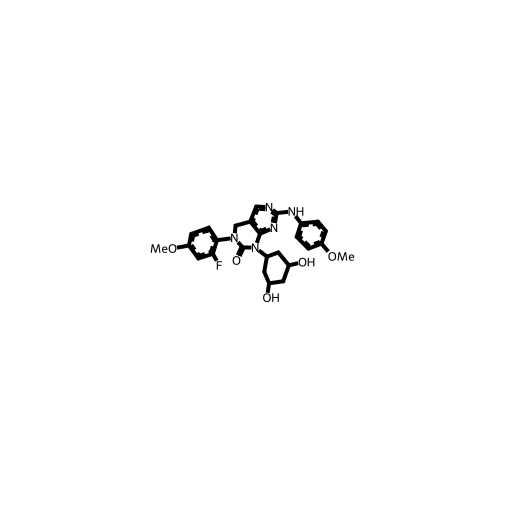 COc1ccc(Nc2ncc3c(n2)N(C2CC(O)CC(O)C2)C(=O)N(c2ccc(OC)cc2F)C3)cc1